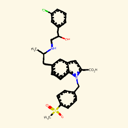 CC(Cc1ccc2c(c1)cc(C(=O)O)n2Cc1ccc(S(C)(=O)=O)cc1)NCC(O)c1cccc(Cl)c1